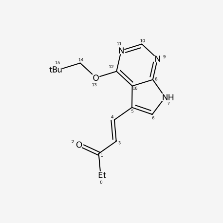 CCC(=O)C=Cc1c[nH]c2ncnc(OCC(C)(C)C)c12